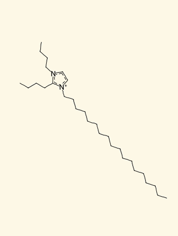 CCCCCCCCCCCCCCCCCC[n+]1ccn(CCCC)c1CCCC